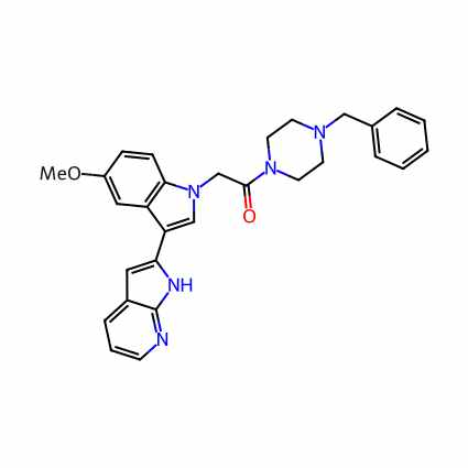 COc1ccc2c(c1)c(-c1cc3cccnc3[nH]1)cn2CC(=O)N1CCN(Cc2ccccc2)CC1